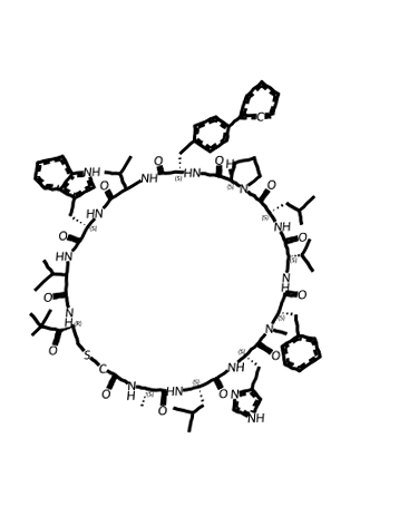 CC(C)C[C@@H]1NC(=O)[C@H](C)NC(=O)CSC[C@@H](C(=O)C(C)(C)C)NC(=O)C(C(C)C)NC(=O)[C@H](Cc2c[nH]c3ccccc23)NC(=O)C(C(C)C)NC(=O)[C@H](Cc2ccc(-c3ccccc3)cc2)NC(=O)[C@@H]2CCCN2C(=O)[C@H](CC(C)C)NC(=O)[C@H](C(C)C)NC(=O)[C@H](Cc2ccccc2)N(C)C(=O)[C@H](Cc2c[nH]cn2)NC1=O